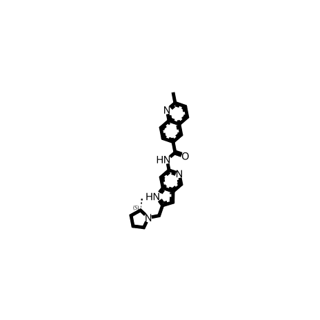 Cc1ccc2cc(C(=O)Nc3cc4[nH]c(CN5CCC[C@@H]5C)cc4cn3)ccc2n1